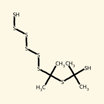 CC(C)(S)SC(C)(C)SSSSSS